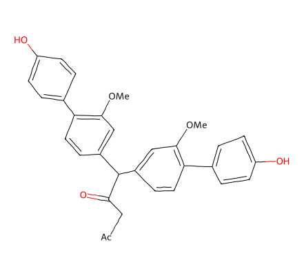 COc1cc(C(C(=O)CC(C)=O)c2ccc(-c3ccc(O)cc3)c(OC)c2)ccc1-c1ccc(O)cc1